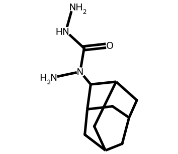 NNC(=O)N(N)C1C2CC3CC(C2)CC1C3